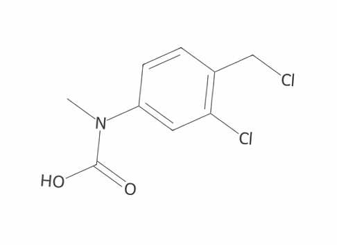 CN(C(=O)O)c1ccc(CCl)c(Cl)c1